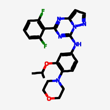 CC(C)Oc1cc(Nc2nc(-c3c(F)cccc3F)nc3ccnn23)ccc1N1CCOCC1